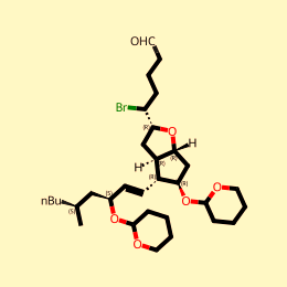 CCCC[C@H](C)C[C@@H](C=C[C@@H]1[C@H]2C[C@H](C(Br)CCCC=O)O[C@@H]2C[C@H]1OC1CCCCO1)OC1CCCCO1